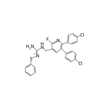 N/C(=N\Sc1ccccc1)NCc1cc(-c2ccc(Cl)cc2)c(-c2ccc(Cl)cc2)nc1F